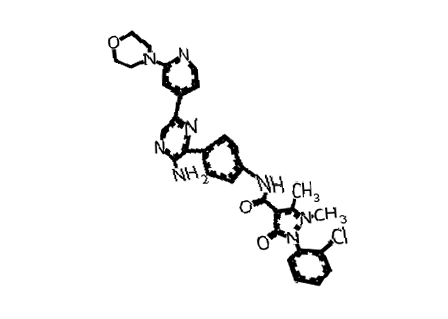 Cc1c(C(=O)Nc2ccc(-c3nc(-c4ccnc(N5CCOCC5)c4)cnc3N)cc2)c(=O)n(-c2ccccc2Cl)n1C